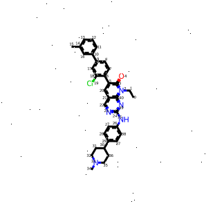 CCn1c(=O)c(-c2ccc(-c3cccc(C)c3)cc2Cl)cc2cnc(Nc3ccc(C4CCN(C)CC4)cc3)nc21